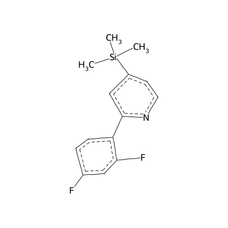 C[Si](C)(C)c1ccnc(-c2ccc(F)cc2F)c1